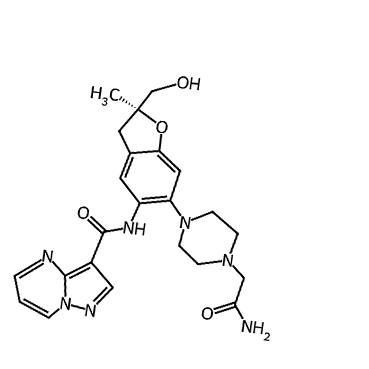 C[C@@]1(CO)Cc2cc(NC(=O)c3cnn4cccnc34)c(N3CCN(CC(N)=O)CC3)cc2O1